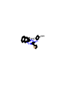 COc1ccc(OC)c(Nc2nc3cc4ccccc4cc3nc2-c2cccs2)c1